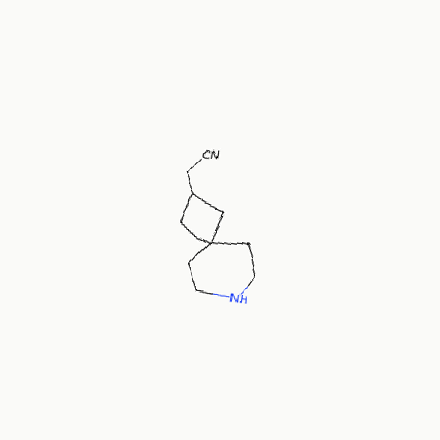 N#CCC1CC2(CCNCC2)C1